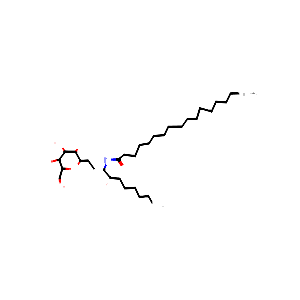 CCCCCCCCCCCCCCCCCCCCCCCCCC(=O)N[C@@H](CCC1OC(CO)C(O)C(O)C1O)[C@H](O)CCCCCCCCCCCCCCC